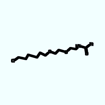 CCC(=O)NCCOCCOCCCCCCCl